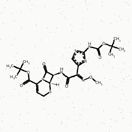 CO/N=C(/C(=O)N[C@@H]1C(=O)N2C(C(=O)OC(C)(C)C)=CCS[C@H]12)c1csc(NC(=O)OC(C)(C)C)n1